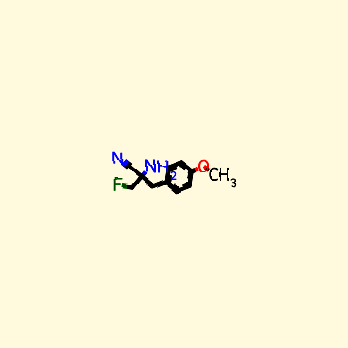 COc1ccc(CC(N)(C#N)CF)cc1